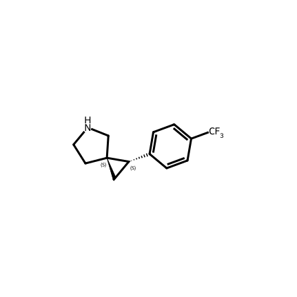 FC(F)(F)c1ccc([C@@H]2C[C@]23CCNC3)cc1